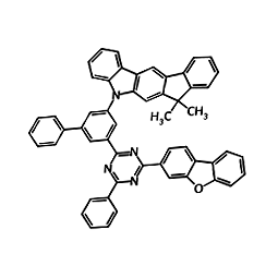 CC1(C)c2ccccc2-c2cc3c4ccccc4n(-c4cc(-c5ccccc5)cc(-c5nc(-c6ccccc6)nc(-c6ccc7c(c6)oc6ccccc67)n5)c4)c3cc21